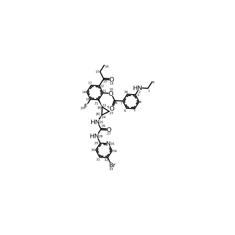 CCNc1cccc(C(=O)Oc2c(C(=O)CC)ccc(F)c2[C@H]2C[C@H]2NC(=O)Nc2ccc(Br)cn2)c1